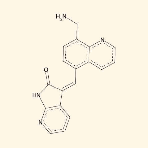 NCc1ccc(C=C2C(=O)Nc3ncccc32)c2cccnc12